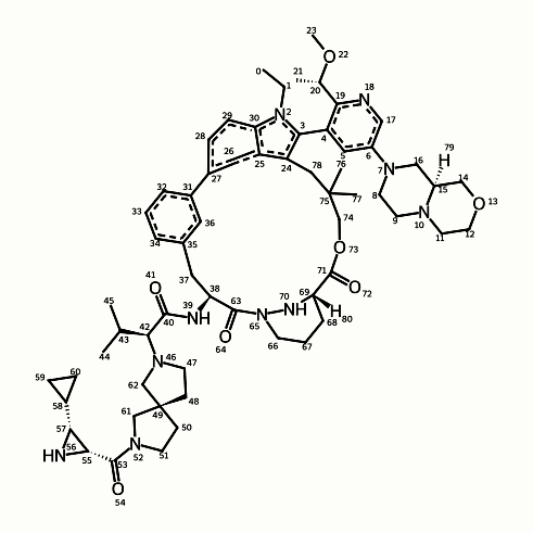 CCn1c(-c2cc(N3CCN4CCOC[C@@H]4C3)cnc2[C@H](C)OC)c2c3cc(ccc31)-c1cccc(c1)C[C@H](NC(=O)[C@H](C(C)C)N1CC[C@]3(CCN(C(=O)[C@@H]4N[C@@H]4C4CC4)C3)C1)C(=O)N1CCC[C@H](N1)C(=O)OCC(C)(C)C2